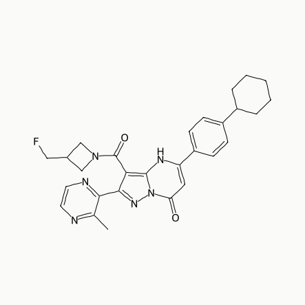 Cc1nccnc1-c1nn2c(=O)cc(-c3ccc(C4CCCCC4)cc3)[nH]c2c1C(=O)N1CC(CF)C1